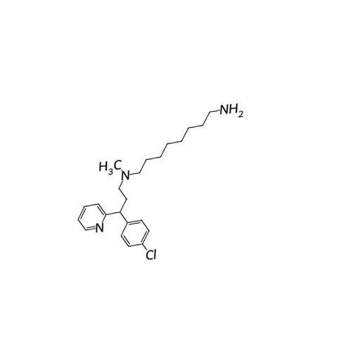 CN(CCCCCCCCN)CCC(c1ccc(Cl)cc1)c1ccccn1